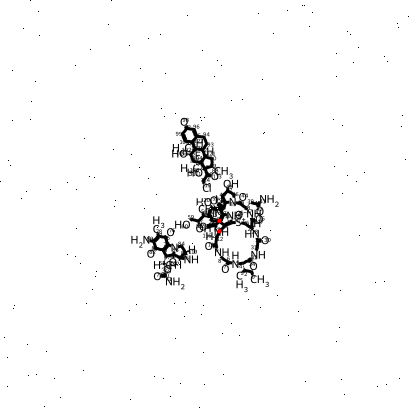 CCC(C)[C@@H]1NC(=O)CNC(=O)[C@@H]2Cc3c([nH]c4cc(O)ccc34)[S@+]([O-])C[C@H](NC(=O)CNC1=O)C(=O)N[C@@H](CC(N)=O)C(=O)N1CC(O)C[C@H]1C(=O)N[C@@H](C(C)[C@@H](O)CO)C(=O)N2.CO[C@@]12[C@H](COC(N)=O)C3=C(C(=O)C(C)=C(N)C3=O)N1C[C@@H]1N[C@@H]12.C[C@H]1C[C@H]2[C@@H]3CCC4=CC(=O)C=C[C@]4(C)[C@@]3(F)[C@@H](O)C[C@]2(C)[C@@]1(O)C(=O)CCl